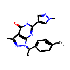 Cc1nn(C(C)c2ccc(C(F)(F)F)cc2)c2nc(-c3cnn(C)c3)[nH]c(=O)c12